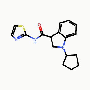 O=C(Nc1nccs1)C1CN(C2CCCC2)c2ccccc21